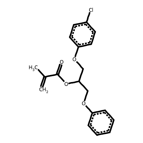 C=C(C)C(=O)OC(COc1ccccc1)COc1ccc(Cl)cc1